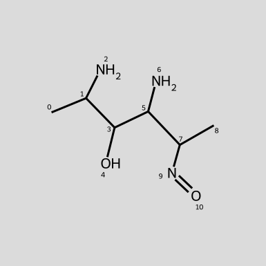 CC(N)C(O)C(N)C(C)N=O